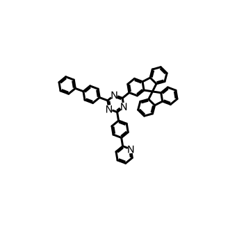 c1ccc(-c2ccc(-c3nc(-c4ccc(-c5ccccn5)cc4)nc(-c4ccc5c(c4)C4(c6ccccc6-c6ccccc64)c4ccccc4-5)n3)cc2)cc1